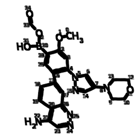 COc1cc(-n2cc(N3CCOCC3)cn2)c(-c2ccc3c(N)cnnc3c2)cc1B(O)OC=O